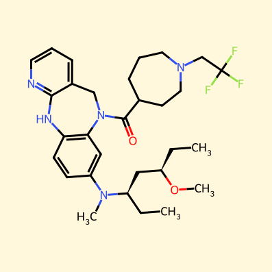 CC[C@H](C[C@@H](CC)N(C)c1ccc2c(c1)N(C(=O)C1CCCN(CC(F)(F)F)CC1)Cc1cccnc1N2)OC